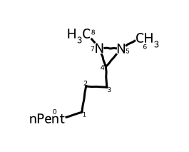 CCCCCCCCC1N(C)N1C